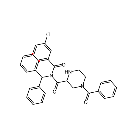 O=C(c1ccccc1)N1CCNC(C(=O)N(C(=O)c2cccc(Cl)c2)C(c2ccccc2)c2ccccc2)C1